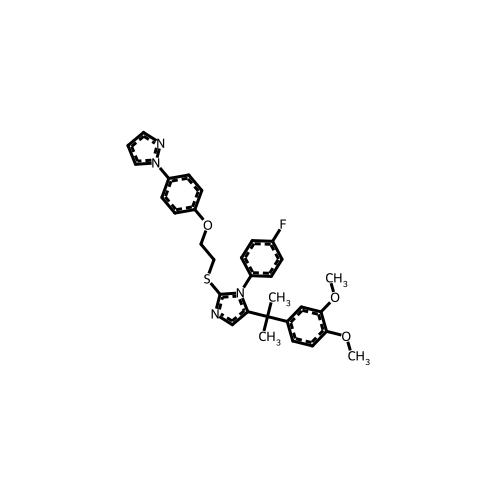 COc1ccc(C(C)(C)c2cnc(SCCOc3ccc(-n4cccn4)cc3)n2-c2ccc(F)cc2)cc1OC